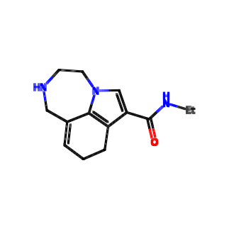 CCNC(=O)c1cn2c3c1CCC=C3CNCC2